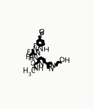 CNC(=O)c1nc(-c2cnn(CCCO)c2)ccc1Nc1nc(Nc2ccc(CP=O)cc2F)ncc1C(F)(F)F